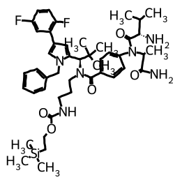 CC(C)[C@H](N)C(=O)N(c1ccc(C(=O)N(CCCNC(=O)OCC[Si](C)(C)C)[C@@H](c2cc(-c3cc(F)ccc3F)cn2Cc2ccccc2)C(C)(C)C)cc1)[C@@H](C)C(N)=O